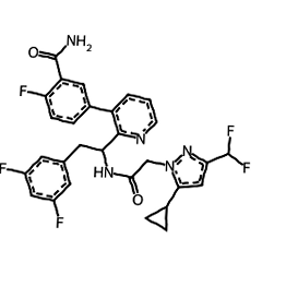 NC(=O)c1cc(-c2cccnc2C(Cc2cc(F)cc(F)c2)NC(=O)Cn2nc(C(F)F)cc2C2CC2)ccc1F